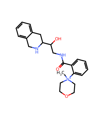 C[N+]1(c2ccccc2C(=O)NCC(O)C2Cc3ccccc3CN2)CCOCC1